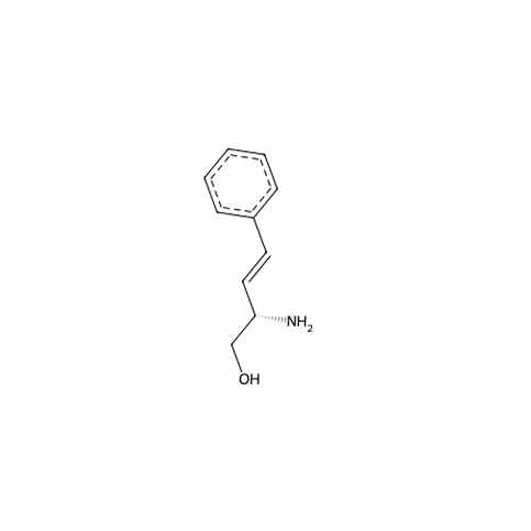 N[C@@H](/C=C/c1ccccc1)CO